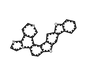 c1ccc2c(c1)oc1cc3c(cc12)oc1ccc2c(c4cnccc4c4nccn24)c13